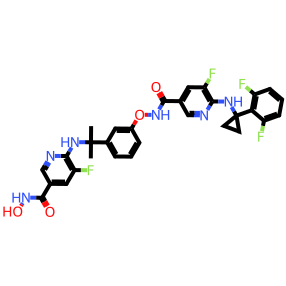 CC(C)(Nc1ncc(C(=O)NO)cc1F)c1cccc(ONC(=O)c2cnc(NC3(c4c(F)cccc4F)CC3)c(F)c2)c1